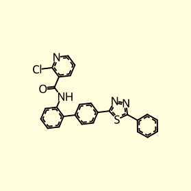 O=C(Nc1ccccc1-c1ccc(-c2nnc(-c3ccccc3)s2)cc1)c1cccnc1Cl